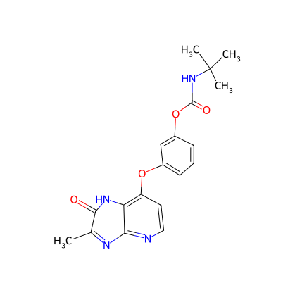 Cc1nc2nccc(Oc3cccc(OC(=O)NC(C)(C)C)c3)c2[nH]c1=O